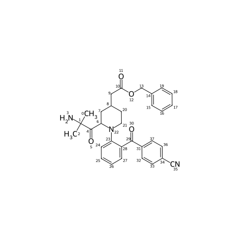 CC(C)(N)C(=O)C1CC(CC(=O)OCc2ccccc2)CCN1c1ccccc1C(=O)c1ccc(C#N)cc1